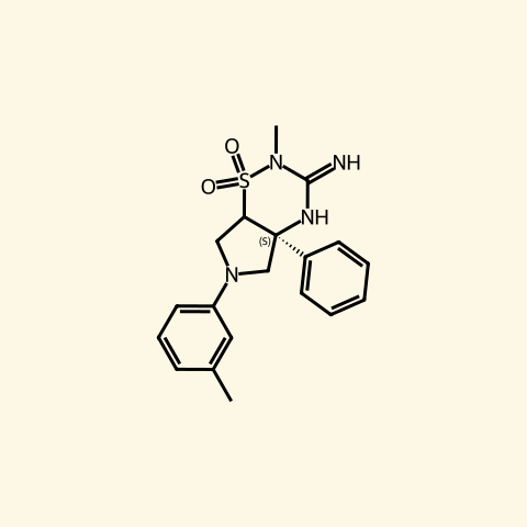 Cc1cccc(N2CC3[C@](c4ccccc4)(C2)NC(=N)N(C)S3(=O)=O)c1